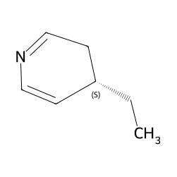 CC[C@@H]1C=CN=CC1